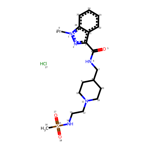 CC(C)n1nc(C(=O)NCC2CCN(CCNS(C)(=O)=O)CC2)c2ccccc21.Cl